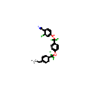 CCc1ccc(C(F)(F)Oc2ccc(C(F)(F)Oc3ccc(C#N)c(F)c3)cc2)cc1